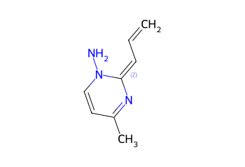 C=C/C=C1/N=C(C)C=CN1N